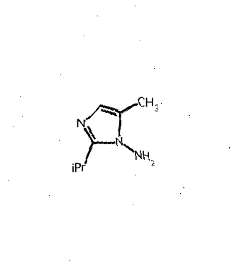 Cc1cnc(C(C)C)n1N